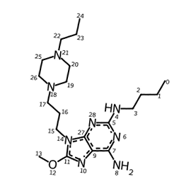 CCCCNc1nc(N)c2nc(OC)n(CCCN3CCN(CCC)CC3)c2n1